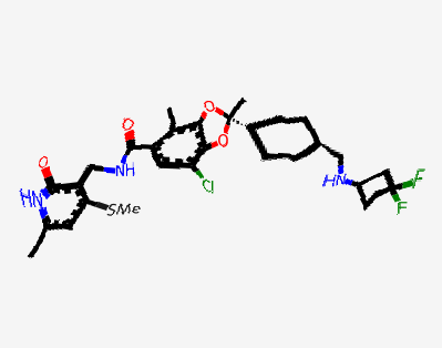 CSc1cc(C)[nH]c(=O)c1CNC(=O)c1cc(Cl)c2c(c1C)OC(C)([C@H]1CC[C@H](CNC3CC(F)(F)C3)CC1)O2